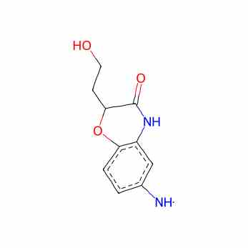 [NH]c1ccc2c(c1)NC(=O)C(CCO)O2